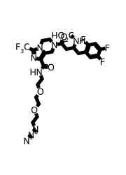 [N-]=[N+]=NCCOCCOCCNC(=O)c1nc(C(F)(F)F)n2c1CN(C(=O)CC(Cc1cc(F)c(F)cc1F)NC(=O)O)CC2